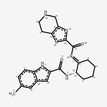 Cc1ccc2[nH]c(C(=O)N[C@H]3CCCC/C3=N\C(=O)c3nc4c(s3)CNCC4)cc2c1